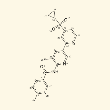 Cc1ncc(C(=O)Nc2ncc(-c3cccc(S(=O)(=O)C4CC4)c3)cc2F)cn1